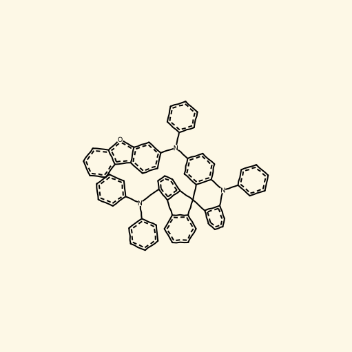 c1ccc(N(c2ccc3c(c2)C2(c4ccccc4-c4c(N(c5ccccc5)c5ccccc5)cccc42)c2ccccc2N3c2ccccc2)c2ccc3c(c2)oc2ccccc23)cc1